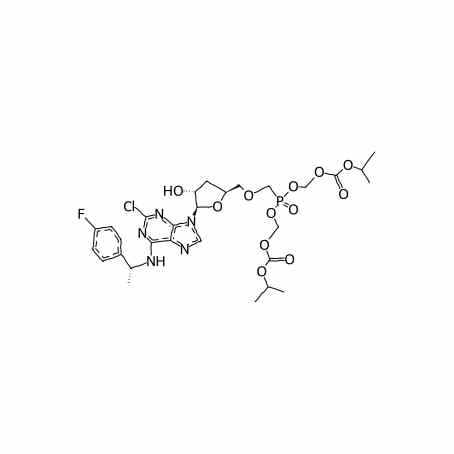 CC(C)OC(=O)OCOP(=O)(COC[C@@H]1C[C@@H](O)[C@H](n2cnc3c(N[C@H](C)c4ccc(F)cc4)nc(Cl)nc32)O1)OCOC(=O)OC(C)C